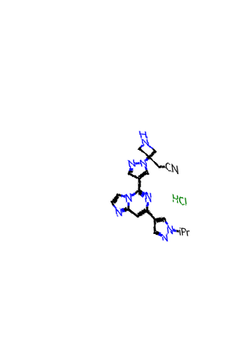 CC(C)n1cc(-c2cc3nccn3c(-c3cnn(C4(CC#N)CNC4)c3)n2)cn1.Cl